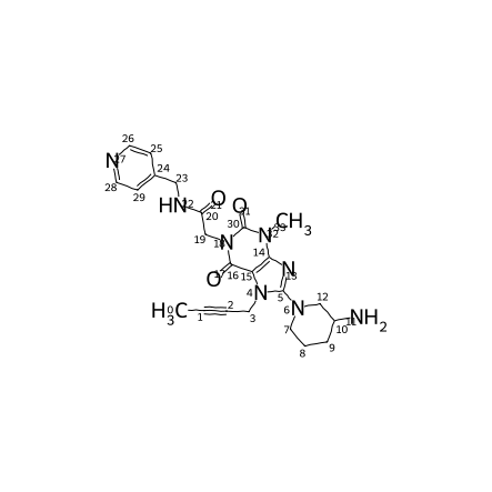 CC#CCn1c(N2CCCC(N)C2)nc2c1c(=O)n(CC(=O)NCc1ccncc1)c(=O)n2C